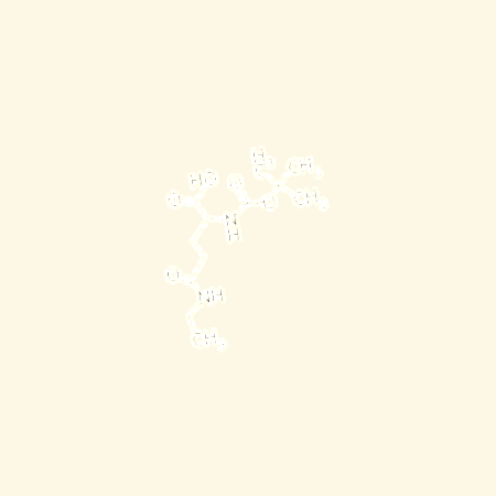 CCNC(=O)CCC(NC(=O)OC(C)(C)C)C(=O)O